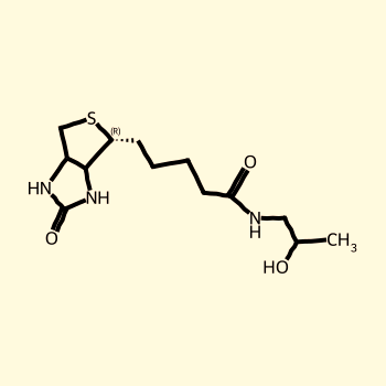 CC(O)CNC(=O)CCCC[C@H]1SCC2NC(=O)NC21